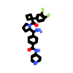 NC(c1ccc(C(=O)Nc2ccncc2)cc1)C1CCCN1C(=O)C1(c2ccc(F)c(F)c2)CCC1